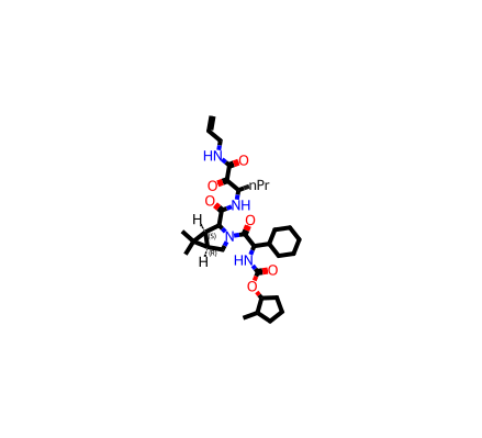 C=CCNC(=O)C(=O)C(CCC)NC(=O)C1[C@H]2[C@@H](CN1C(=O)C(NC(=O)OC1CCCC1C)C1CCCCC1)C2(C)C